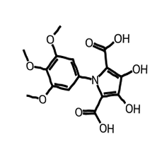 COc1cc(-n2c(C(=O)O)c(O)c(O)c2C(=O)O)cc(OC)c1OC